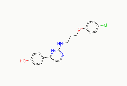 Oc1ccc(-c2ccnc(NCCCOc3ccc(Cl)cc3)n2)cc1